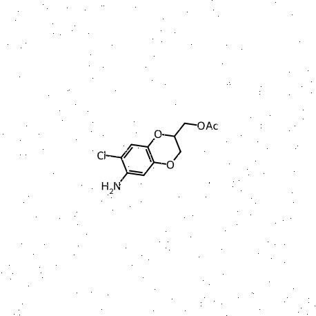 CC(=O)OCC1COc2cc(N)c(Cl)cc2O1